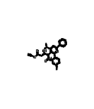 C#COC(=O)CC(O)C(c1c(C(C)C)cc(-c2ccccc2)nc1-c1ccc(F)cc1)[PH](=O)O